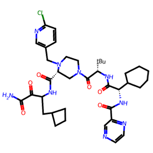 CC(C)(C)[C@H](NC(=O)[C@@H](NC(=O)c1cnccn1)C1CCCCC1)C(=O)N1CCN(Cc2ccc(Cl)nc2)[C@@H](C(=O)NC(CC2CCC2)C(=O)C(N)=O)C1